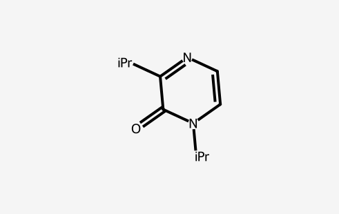 CC(C)c1nccn(C(C)C)c1=O